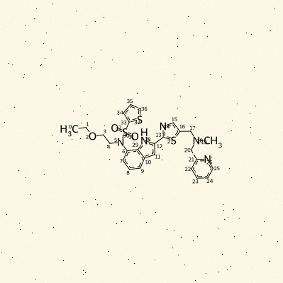 CCOCCN(c1cccc2cc(-c3ncc(CN(C)Cc4ccccn4)s3)[nH]c12)S(=O)(=O)c1cccs1